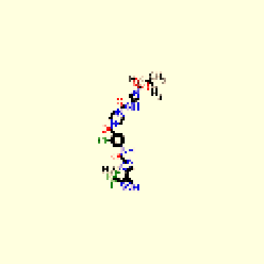 Cn1c(-c2c[nH]nc2C(F)(F)F)cnc1C(=O)Nc1ccc(C(=O)N2CCN(C(=O)NC3CN(C(=O)OC(C)(C)C)C3)CC2)c(Cl)c1